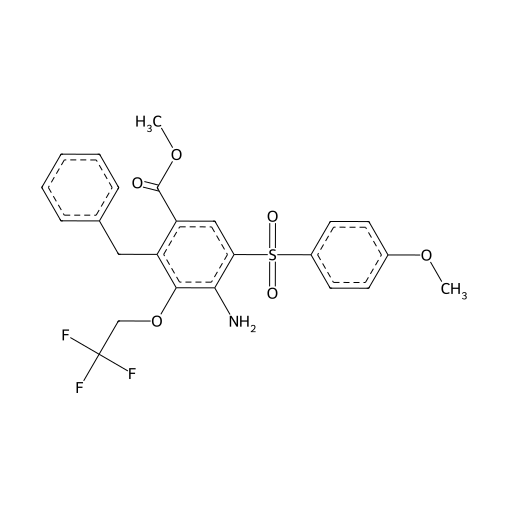 COC(=O)c1cc(S(=O)(=O)c2ccc(OC)cc2)c(N)c(OCC(F)(F)F)c1Cc1ccccc1